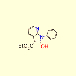 CCOC(=O)c1c(O)n(-c2ccccc2)c2ncccc12